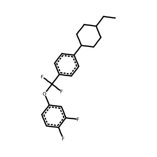 CCC1CCC(c2ccc(C(F)(F)Oc3ccc(F)c(F)c3)cc2)CC1